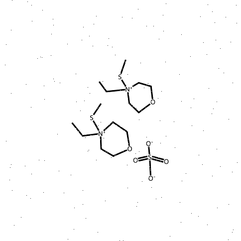 CC[N+]1(SC)CCOCC1.CC[N+]1(SC)CCOCC1.O=S(=O)([O-])[O-]